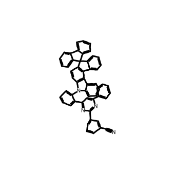 N#Cc1cccc(-c2nc(-c3ccccc3)cc(-c3ccccc3-n3c4ccccc4c4c5c(ccc43)C3(c4ccccc4-c4ccccc43)c3ccccc3-5)n2)c1